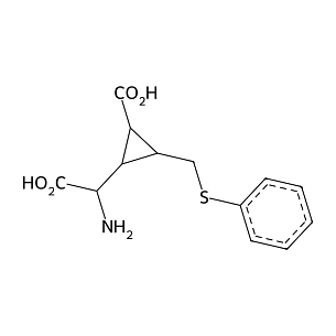 NC(C(=O)O)C1C(CSc2ccccc2)C1C(=O)O